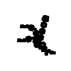 COc1ccc(CN(Cc2ccc(OC)cc2)S(=O)(=O)c2c(CC3CCC(CNC(=O)OC(C)(C)C)CC3)ccc(-c3ccc(C4CCN(C(=O)OC(C)(C)C)CC4)cc3)c2-c2nnn(Cc3ccc(OC)cc3)n2)cc1